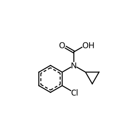 O=C(O)N(c1ccccc1Cl)C1CC1